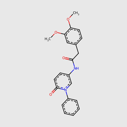 COc1ccc(CC(=O)Nc2ccc(=O)n(-c3ccccc3)c2)cc1OC